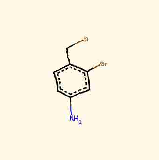 Nc1ccc(CBr)c(Br)c1